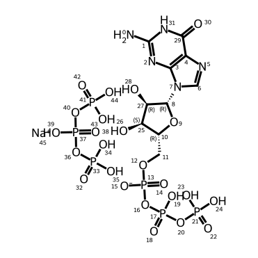 Nc1nc2c(ncn2[C@@H]2O[C@H](COP(=O)([O-])OP(=O)(O)OP(=O)(O)O)[C@@H](O)[C@H]2O)c(=O)[nH]1.O=P(O)(O)OP(=O)(O)OP(=O)(O)O.[Na+]